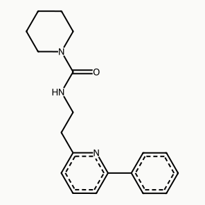 O=C(NCCc1cccc(-c2ccccc2)n1)N1CCCCC1